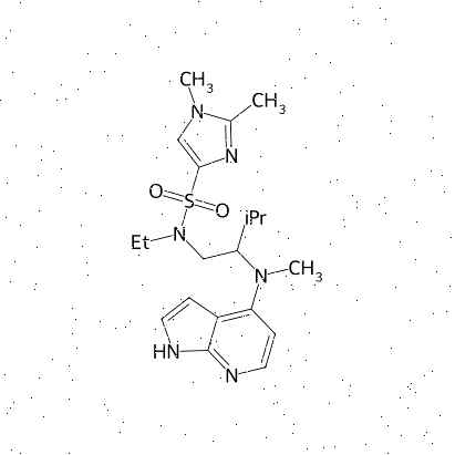 CCN(CC(C(C)C)N(C)c1ccnc2[nH]ccc12)S(=O)(=O)c1cn(C)c(C)n1